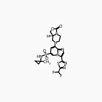 CC1(NS(=O)(=O)c2cc(N3CCN4C(=O)OC[C@H]4C3)c3ncc(-c4nnc(C(F)F)s4)n3c2)CC1